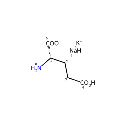 N[C@@H](CCC(=O)O)C(=O)[O-].[K+].[NaH]